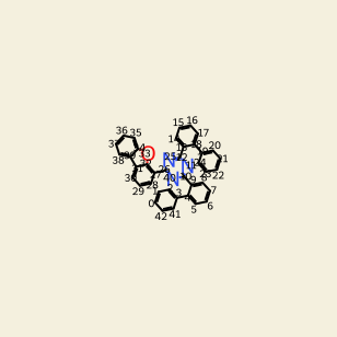 c1ccc(-c2ccccc2-c2nc(-c3ccccc3-c3ccccc3)nc(-c3cccc4c3oc3ccccc34)n2)cc1